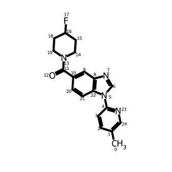 Cc1ccc(-n2cnc3cc(C(=O)N4CCC(F)CC4)ccc32)nc1